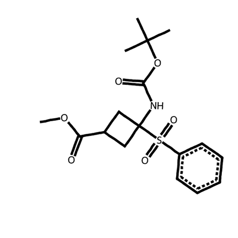 COC(=O)C1CC(NC(=O)OC(C)(C)C)(S(=O)(=O)c2ccccc2)C1